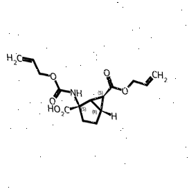 C=CCOC(=O)N[C@@]1(C(=O)O)CC[C@@H]2C1[C@H]2C(=O)OCC=C